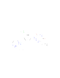 CC(C)c1nccc(Oc2c(Cl)cc(-n3nc(C#N)c(=O)[nH]c3=O)cc2Cl)n1